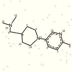 Cc1ccc(N2CCC(CN(C)C)CC2)cn1